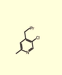 Cc1cc(CC(C)C)c(Cl)cn1